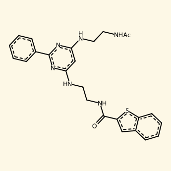 CC(=O)NCCNc1cc(NCCNC(=O)c2cc3ccccc3s2)nc(-c2ccccc2)n1